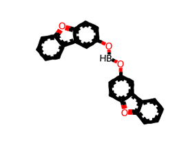 B(Oc1ccc2oc3ccccc3c2c1)Oc1ccc2oc3ccccc3c2c1